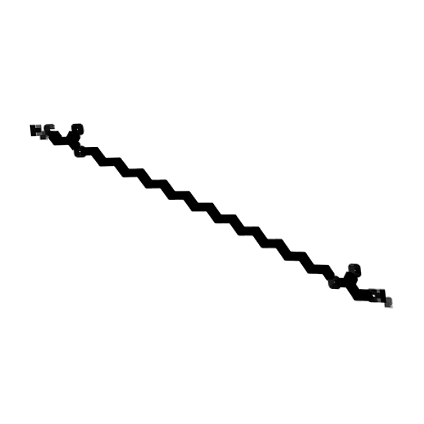 C=CC(=O)OCCCCCCCCCCCCCCCCCCCCCOC(=O)C=C